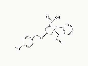 COc1ccc(CO[C@H]2CN(C(=O)O)[C@](CC=O)(Cc3ccccc3)C2)cc1